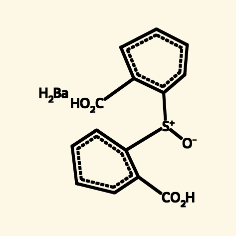 O=C(O)c1ccccc1[S+]([O-])c1ccccc1C(=O)O.[BaH2]